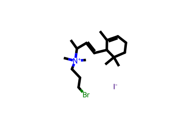 CC1=CCCC(C)(C)C1C=CC(C)[N+](C)(C)CCCBr.[I-]